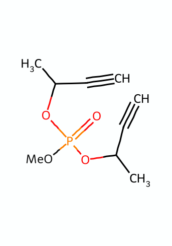 C#CC(C)OP(=O)(OC)OC(C)C#C